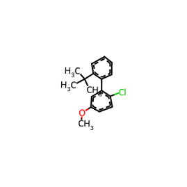 COc1ccc(Cl)c(-c2ccccc2C(C)(C)C)c1